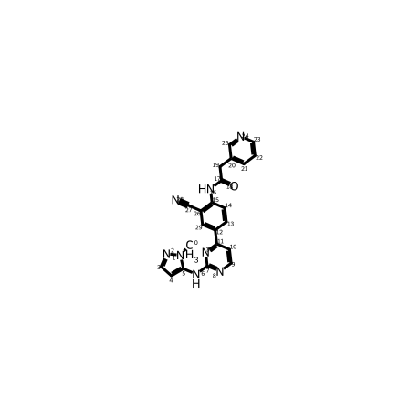 Cn1nccc1Nc1nccc(-c2ccc(NC(=O)Cc3cccnc3)c(C#N)c2)n1